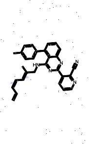 C=C/C=C\C=C(/C)CNc1nc(-c2cccnc2C#N)nc2cccc(-c3ccc(C)cc3)c12